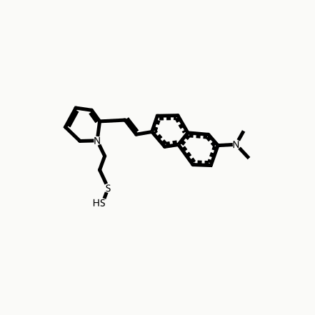 CN(C)c1ccc2cc(/C=C/C3=CC=CCN3CCSS)ccc2c1